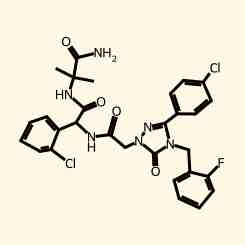 CC(C)(NC(=O)C(NC(=O)Cn1nc(-c2ccc(Cl)cc2)n(Cc2ccccc2F)c1=O)c1ccccc1Cl)C(N)=O